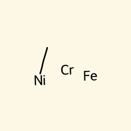 [CH3][Ni].[Cr].[Fe]